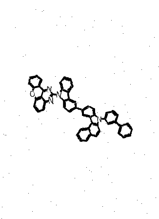 c1ccc(-c2cccc(-n3c4ccc(-c5ccc6c(c5)c5ccccc5n6-c5nc6c7c(cccc7n5)Oc5ccccc5-6)cc4c4c5ccccc5ccc43)c2)cc1